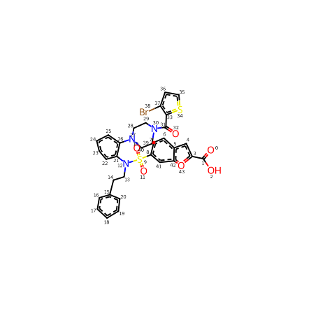 O=C(O)c1cc2ccc(S(=O)(=O)N(CCc3ccccc3)c3ccccc3N3CCN(C(=O)c4sccc4Br)CC3)cc2o1